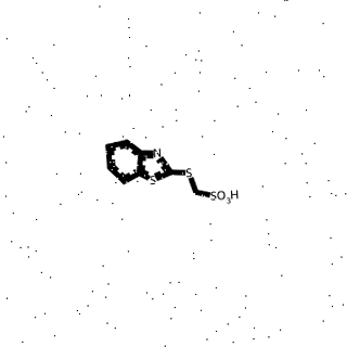 O=S(=O)(O)CSc1nc2ccccc2s1